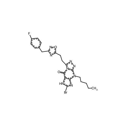 CCCCCn1c2nc(Br)[nH]c2c(=O)n2c(CCc3nc(Cc4ccc(F)cc4)no3)nnc12